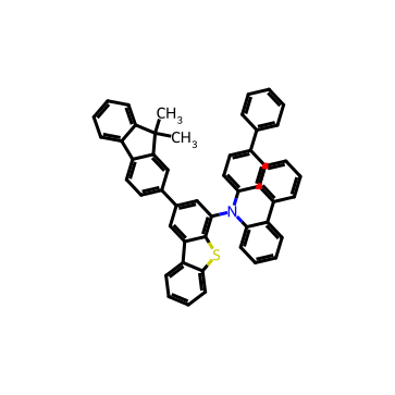 CC1(C)c2ccccc2-c2ccc(-c3cc(N(c4ccc(-c5ccccc5)cc4)c4ccccc4-c4ccccc4)c4sc5ccccc5c4c3)cc21